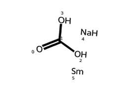 O=C(O)O.[NaH].[Sm]